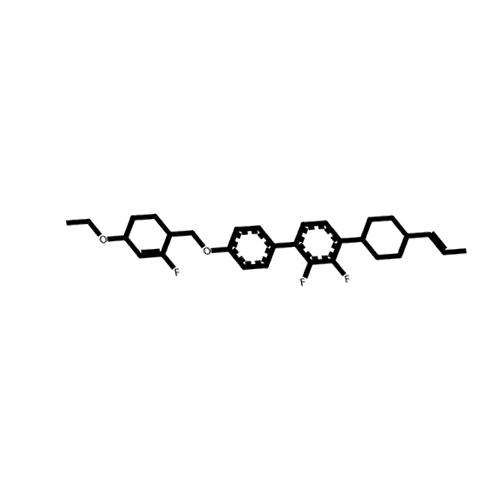 C/C=C/C1CCC(c2ccc(-c3ccc(OCC4CCC(OCC)C=C4F)cc3)c(F)c2F)CC1